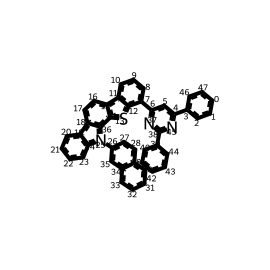 c1ccc(-c2cc(-c3cccc4c3sc3c4ccc4c5ccccc5n(-c5ccc6ccccc6c5)c43)nc(-c3ccccc3)n2)cc1